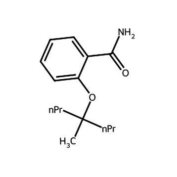 CCCC(C)(CCC)Oc1ccccc1C(N)=O